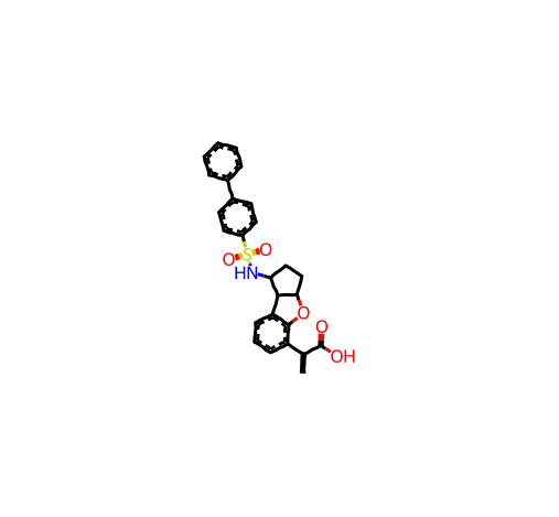 C=C(C(=O)O)c1cccc2c1OC1CCC(NS(=O)(=O)c3ccc(-c4ccccc4)cc3)C21